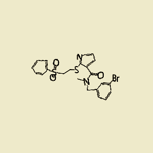 CN(Cc1cccc(Br)c1)C(=O)c1cccnc1SCCS(=O)(=O)c1ccccc1